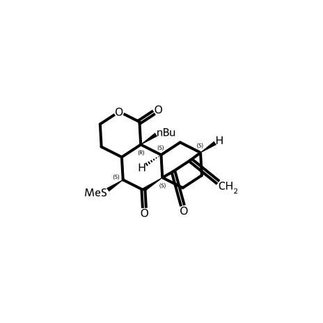 C=C1C(=O)[C@]23CC[C@H]1C[C@@H]2[C@@]1(CCCC)C(=O)OCCC1[C@H](SC)C3=O